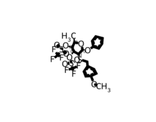 COc1ccc(CS[C@@H]2[C@@H](Oc3ccccc3)O[C@H](C)[C@H](OS(=O)(=O)C(F)(F)F)[C@@H]2OS(=O)(=O)C(F)(F)F)cc1